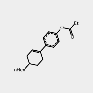 CCCCCCC1CC=C(c2ccc(OC(=O)CC)cc2)CC1